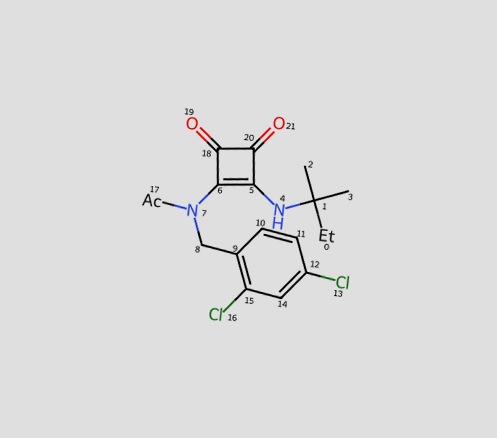 CCC(C)(C)Nc1c(N(Cc2ccc(Cl)cc2Cl)C(C)=O)c(=O)c1=O